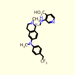 CN(c1ccc(CC(F)(F)F)cc1)c1ccc2c(c1)CCN(C)[C@@H]2CNc1cnccc1C(=O)O